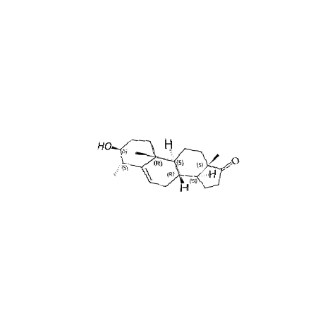 C[C@H]1C2=CC[C@@H]3[C@H](CC[C@]4(C)C(=O)CC[C@@H]34)[C@@]2(C)CC[C@@H]1O